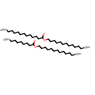 CCCCCCCCCCCCCCCCCCCCCCOC(=O)CCCCCCCCCCCCCCCCC.CCCCCCCCCCCCCCCCCCCCCCOC(=O)CCCCCCCCCCCCCCCCCCCCC